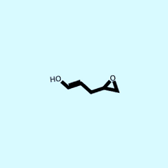 OC=CCC1CO1